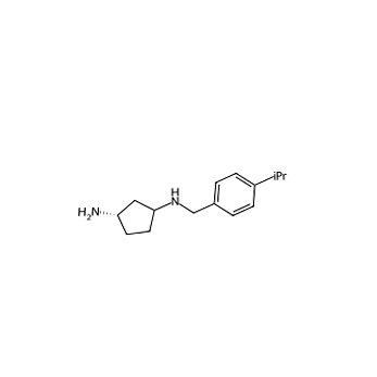 CC(C)c1ccc(CNC2CC[C@H](N)C2)cc1